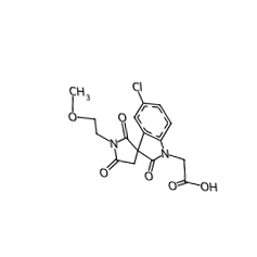 COCCN1C(=O)CC2(C1=O)C(=O)N(CC(=O)O)c1ccc(Cl)cc12